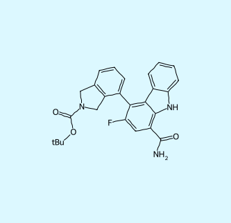 CC(C)(C)OC(=O)N1Cc2cccc(-c3c(F)cc(C(N)=O)c4[nH]c5ccccc5c34)c2C1